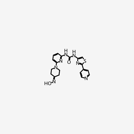 O=C(Nc1cccc(N2CCC(=NO)CC2)n1)Nc1csc(-c2ccncc2)n1